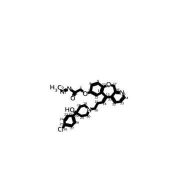 CN=NC(=O)COc1ccc2c(c1)C(=CCCN1CCC(O)(c3ccc(Cl)cc3)CC1)c1cccnc1CO2